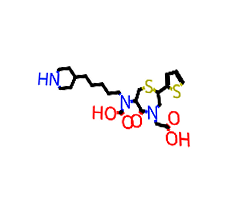 O=C(O)CN1CC(c2cccs2)SCC(N(CCCCCC2CCNCC2)C(=O)O)C1=O